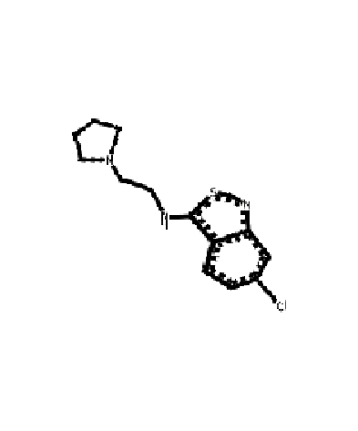 Clc1ccc2c(NCCN3CCCC3)snc2c1